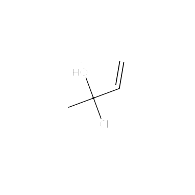 C=CC(C)(O)Cl